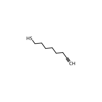 C#CCCCCCCS